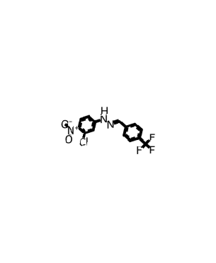 O=[N+]([O-])c1ccc(NN=Cc2ccc(C(F)(F)F)cc2)cc1Cl